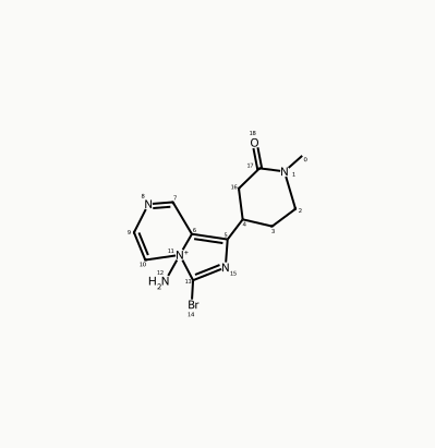 CN1CCC(C2=C3C=NC=C[N+]3(N)C(Br)=N2)CC1=O